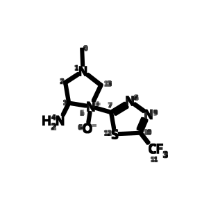 CN1CC(N)[N+]([O-])(c2nnc(C(F)(F)F)s2)C1